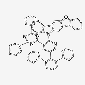 c1ccc(-c2nc(-c3ccccc3)nc(-c3cc(-c4c(-c5ccccc5)cccc4-c4ccccc4)cnc3-n3c4ccccc4c4cc5oc6ccccc6c5cc43)n2)cc1